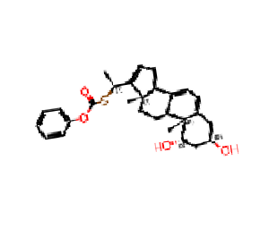 C[C@H](SC(=O)Oc1ccccc1)C1=CCC2C3=CC=C4C[C@@H](O)C[C@H](O)[C@]4(C)C3CC[C@]12C